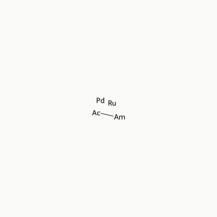 [Ac][Am].[Pd].[Ru]